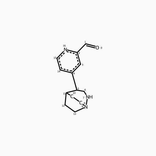 O=Cc1cc(C2CNN3CCC2CC3)ccn1